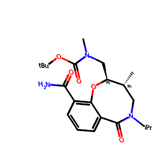 CC(C)N1C[C@@H](C)[C@H](CN(C)C(=O)OC(C)(C)C)Oc2c(C(N)=O)cccc2C1=O